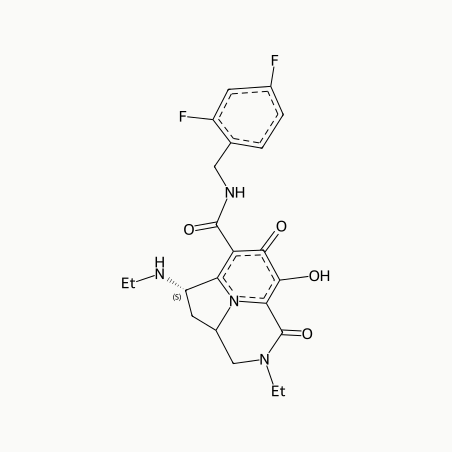 CCN[C@H]1CC2CN(CC)C(=O)c3c(O)c(=O)c(C(=O)NCc4ccc(F)cc4F)c1n32